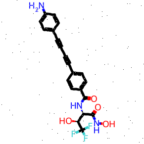 Nc1ccc(C#CC#Cc2ccc(C(=O)N[C@H](C(=O)NO)[C@H](O)C(F)(F)F)cc2)cc1